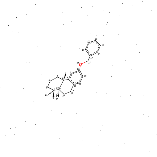 [CH2][C@@]1(C)CCC[C@]2(C)c3cc(OCc4ccccc4)ccc3CC[C@@H]12